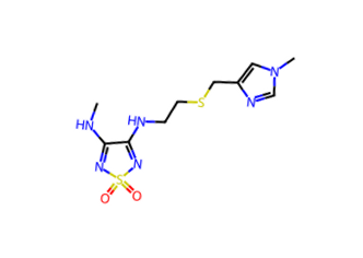 CNC1=NS(=O)(=O)N=C1NCCSCc1cn(C)cn1